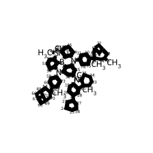 CC1C=C2CC(=CC(C)(c3ccc(N4c5cc(N6c7ccc(-c8ccccc8)cc7C7(C)CCCCC67C)cc6c5B5c7c4cccc7[Si](C)(C)c4cccc(c45)N6c4ccc(C5(C)C=C6CC7=CC(C5)C76)cc4)cc3)C1)C2